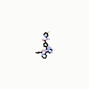 CC#CC(=O)N1CCCCC1C1=C2C=NC=C[N+]2(N)C(c2ccc(C(=O)Nc3cc(F)ccn3)cc2)=N1